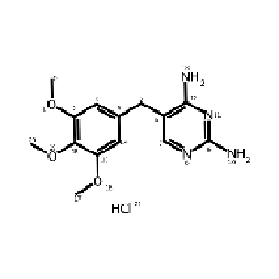 COc1cc(Cc2cnc(N)nc2N)cc(OC)c1OC.Cl